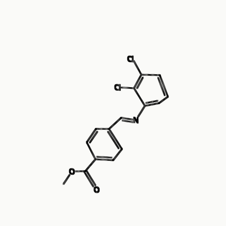 COC(=O)c1ccc(/C=N/c2cccc(Cl)c2Cl)cc1